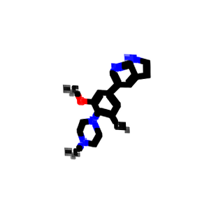 COc1cc(-c2cnc3[nH]ccc3c2)cc(C)c1N1CCN(C)CC1